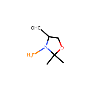 CC1(C)OCC(C=O)N1P